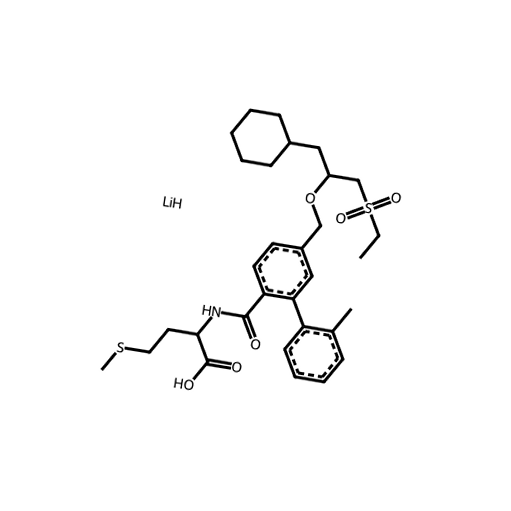 CCS(=O)(=O)CC(CC1CCCCC1)OCc1ccc(C(=O)NC(CCSC)C(=O)O)c(-c2ccccc2C)c1.[LiH]